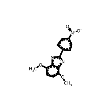 COc1ccc(OC)c2sc(-c3ccc([N+](=O)[O-])cc3)nc12